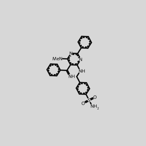 CNc1nc(-c2ccccc2)nc(NCc2ccc(S(N)(=O)=O)cc2)c1C(=N)c1ccccc1